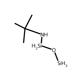 CC(C)(C)N[SiH2]O[SiH3]